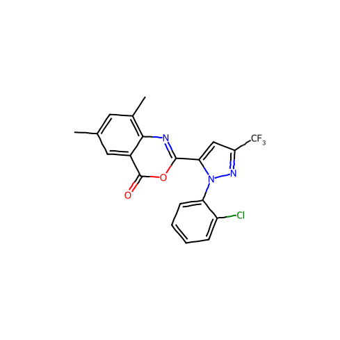 Cc1cc(C)c2nc(-c3cc(C(F)(F)F)nn3-c3ccccc3Cl)oc(=O)c2c1